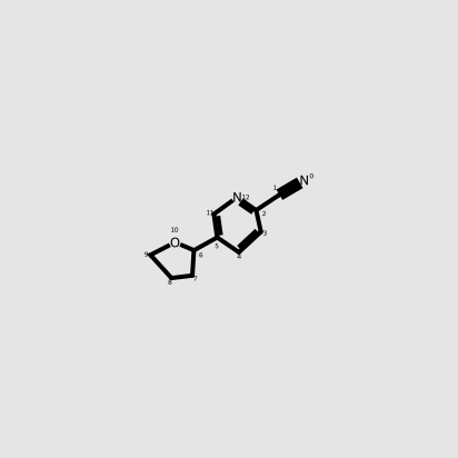 N#Cc1ccc(C2CCCO2)cn1